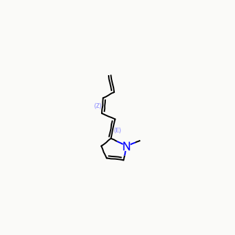 C=C/C=C\C=C1/CC=CN1C